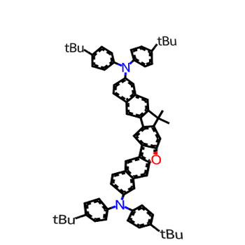 CC(C)(C)c1ccc(N(c2ccc(C(C)(C)C)cc2)c2ccc3cc4c(cc3c2)C(C)(C)c2cc3oc5cc6cc(N(c7ccc(C(C)(C)C)cc7)c7ccc(C(C)(C)C)cc7)ccc6cc5c3cc2-4)cc1